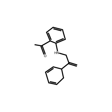 C=C(CNc1ccccc1C(C)=O)C1C=CC=CC1